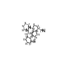 N#Cc1ccc(N2CCCCN2CCc2cccc(F)c2)c2ccccc12